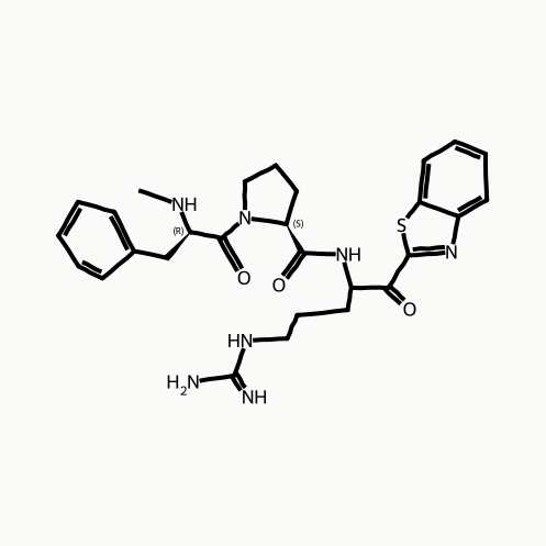 CN[C@H](Cc1ccccc1)C(=O)N1CCC[C@H]1C(=O)NC(CCCNC(=N)N)C(=O)c1nc2ccccc2s1